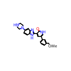 COCc1cccc(-c2c[nH]c(=O)c(-c3nc4cc(N5CCNCC5)ccc4[nH]3)c2)c1